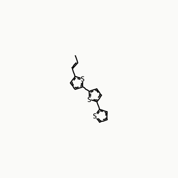 C/C=C/c1ccc(-c2ccc(-c3cccs3)s2)s1